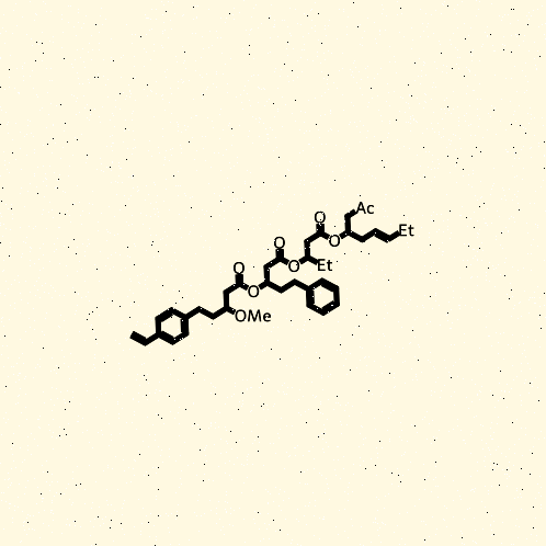 C=Cc1ccc(CCC(CC(=O)OC(CCc2ccccc2)CC(=O)OC(CC)CC(=O)OC(CC=CCC)CC(C)=O)OC)cc1